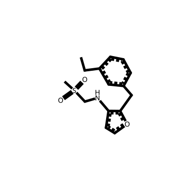 CCc1cccc(Cc2occc2NCS(C)(=O)=O)c1